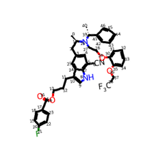 C[C@H](Cc1cc(C#N)c2[nH]cc(CCCOC(=O)c3ccc(F)cc3)c2c1)N(CCOc1ccccc1OCC(F)(F)F)[C@H](C)c1ccccc1